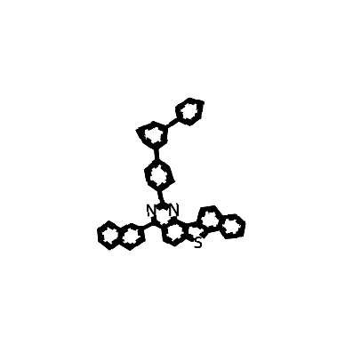 c1ccc(-c2cccc(-c3ccc(-c4nc(-c5ccc6ccccc6c5)c5ccc6sc7c8ccccc8ccc7c6c5n4)cc3)c2)cc1